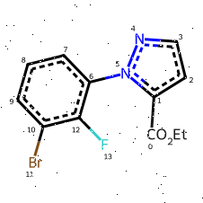 CCOC(=O)c1ccnn1-c1cccc(Br)c1F